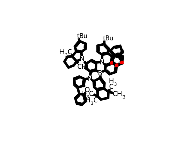 CC(C)(C)c1ccc(N2c3cc(N4c5ccc(C(C)(C)C)cc5C5(C)CCCCC45C)cc4c3B(c3cc5c(cc3N4c3cccc4c3oc3ccccc34)C(C)(C)CCC5(C)C)c3ccc4sc5ccccc5c4c32)c(-c2ccccc2)c1